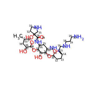 C[C@@H]1CO[C@H](O[C@@H]2[C@@H](O)[C@H](O[C@@H]3CCC=C(CNCCCN)O3)[C@@H](N)C[C@H]2NC(=O)C2(O)CCNC2)[C@H](O)C1